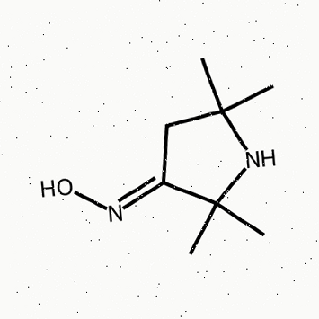 CC1(C)CC(=NO)C(C)(C)N1